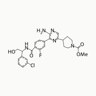 COC(=O)N1CCC(c2cnc(N)c(-c3ccc(C(=O)NC(CO)c4cccc(Cl)c4)c(F)c3)n2)CC1